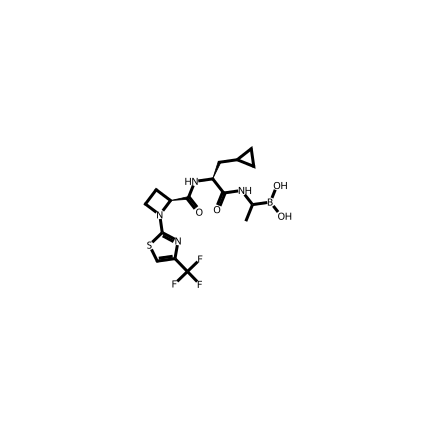 CC(NC(=O)[C@H](CC1CC1)NC(=O)[C@@H]1CCN1c1nc(C(F)(F)F)cs1)B(O)O